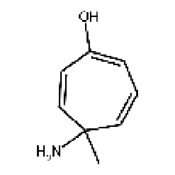 CC1(N)C=CC=C(O)C=C1